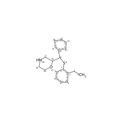 CCc1ccccc1SC(c1ccccc1)C1CNCCO1